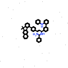 CC1(C)c2cc3ccccc3cc2-c2c(-c3ccc(/C=C/C(NC(N)c4ccccc4)c4cccc(-c5ccccc5Nc5ccccc5)c4)cc3)cccc21